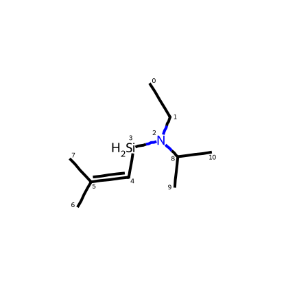 CCN([SiH2]C=C(C)C)C(C)C